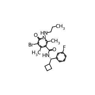 CCCNn1c(C)c(C(=O)N[C@H](c2cccc(F)c2)C2CCC2)c(C)c(Br)c1=O